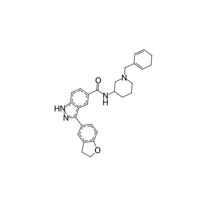 O=C(NC1CCCN(CC2=CCCC=C2)C1)c1ccc2[nH]nc(-c3ccc4c(c3)CCO4)c2c1